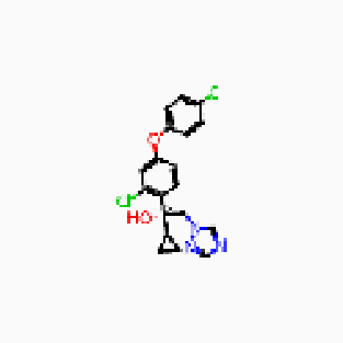 O[C@@](Cn1cncn1)(c1ccc(Oc2ccc(Cl)cc2)cc1Cl)C1CC1